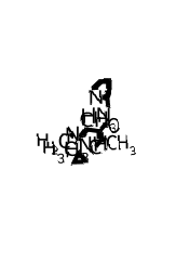 C=N/C(NC1(C)CC1)=C(\C)C(C(=O)NCc1ccccn1)=C(C)C